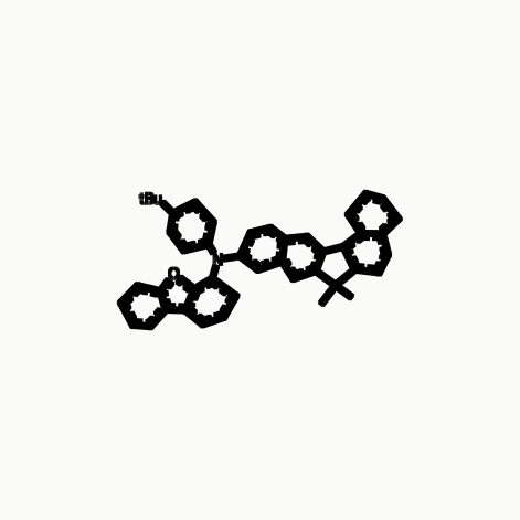 CC(C)(C)c1ccc(N(c2ccc3cc4c(cc3c2)C(C)(C)c2ccc3ccccc3c2-4)c2cccc3c2oc2ccccc23)cc1